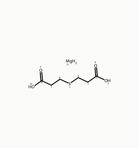 O=C(O)CCSCCC(=O)O.[MgH2]